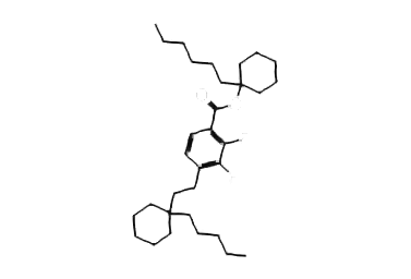 CCCCCCC1(OC(=O)c2ccc(CCC3(CCCCC)CCCCC3)c(F)c2F)CCCCC1